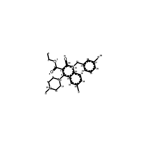 CCOC(=O)c1c(N2CCN(C)CC2)c2cc(C)ccc2n(Cc2cccc(F)c2)c1=O